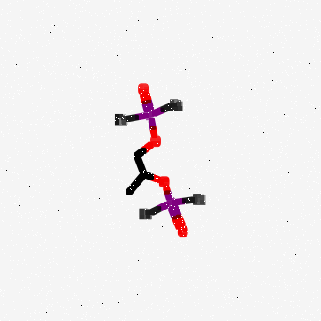 CCP(=O)(CC)OCC(C)OP(=O)(CC)CC